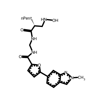 CCCCC[C@H](CNO)C(=O)NCNC(=O)c1ccc(-c2ccc3cn(C)nc3c2)o1